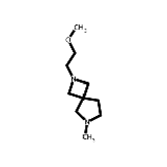 COCCN1CC2(CCN(C)C2)C1